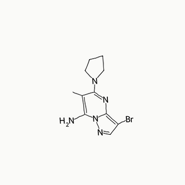 Cc1c(N2CCCC2)nc2c(Br)cnn2c1N